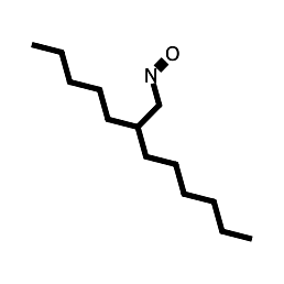 CCCCCCC(CCCCC)CN=O